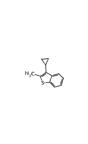 Cc1sc2ccccc2c1C1CC1